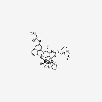 CC1Oc2nc(-c3cc(NC(=O)OC(C)(C)C)cc4cccc(C#C[Si](C(C)C)(C(C)C)C(C)C)c34)c(F)c3nc(OC[C@@]45CCCN4CC(F)(F)C5)nc(c23)N2CC3CCC(C12)N3C(=O)O